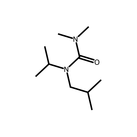 CC(C)CN(C(=O)N(C)C)C(C)C